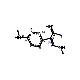 CN/C=C(\C(C)=N)c1ccc(NC)nn1